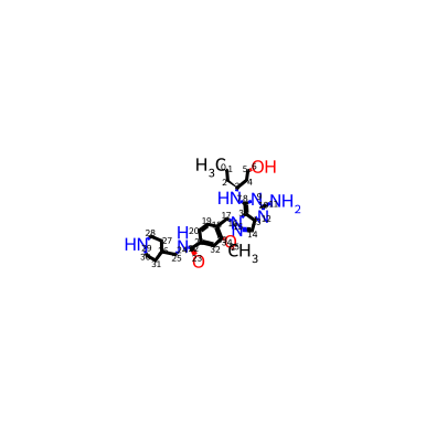 CCC[C@@H](CCO)Nc1nc(N)nc2cnn(Cc3ccc(C(=O)NCC4CCNCC4)cc3OC)c12